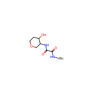 CCCCNC(=O)C(=O)NC1COCCC1O